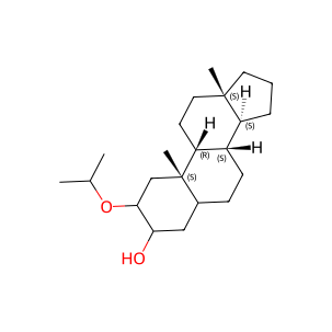 CC(C)OC1C[C@@]2(C)C(CC[C@@H]3[C@H]2CC[C@]2(C)CCC[C@@H]32)CC1O